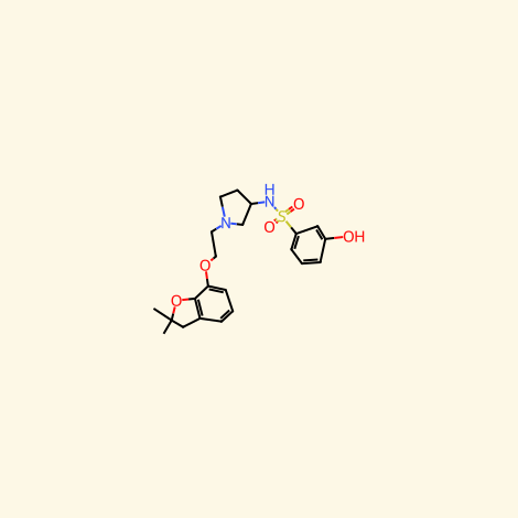 CC1(C)Cc2cccc(OCCN3CCC(NS(=O)(=O)c4cccc(O)c4)C3)c2O1